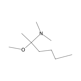 CCCCC(C)(OC)N(C)C